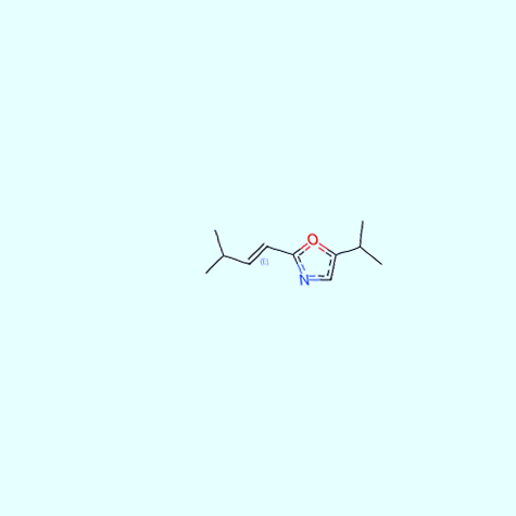 CC(C)/C=C/c1ncc(C(C)C)o1